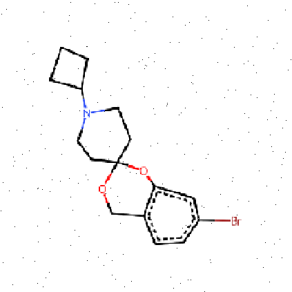 Brc1ccc2c(c1)OC1(CCN(C3CCC3)CC1)OC2